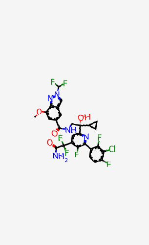 COc1cc(C(=O)NC[C@](O)(c2cc(C(F)(F)C(N)=O)c(F)c(-c3ccc(F)c(Cl)c3F)n2)C2CC2)cc2cn(C(F)F)nc12